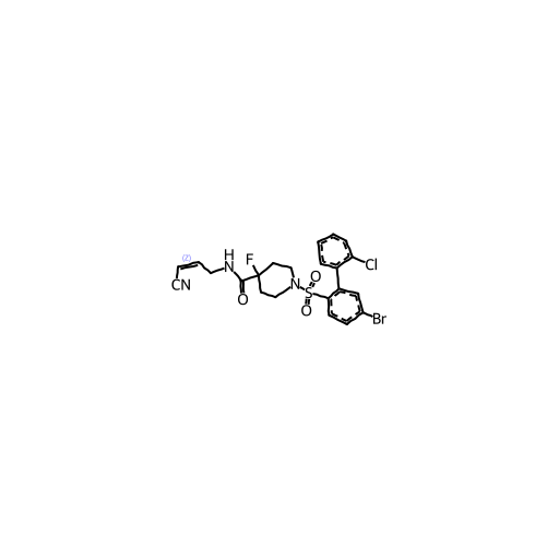 N#C/C=C\CNC(=O)C1(F)CCN(S(=O)(=O)c2ccc(Br)cc2-c2ccccc2Cl)CC1